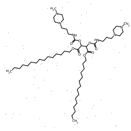 CCCCCCCCCCCCCCCOC(=O)C(OC(=O)NCCCN1CCN(C)CC1)C(OC(=O)NCCCN1CCN(C)CC1)C(=O)OCCCCCCCCCCCCCCC